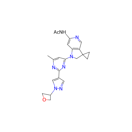 CC(=O)Nc1cc2c(cn1)C1(CC1)CN2c1cc(C)nc(-c2cnn(C3COC3)c2)n1